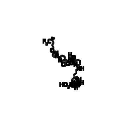 [2H]C([2H])([2H])C1(C([2H])([2H])[2H])C[C@H](CCCNc2cccc(S(=O)(=O)NC(=O)c3ccc(-n4ccc(OCCCC5(C(F)(F)F)CC5)n4)nc3Cl)n2)CN1C(=O)O